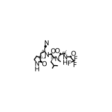 CC(C)C[C@@H](C(=O)N1C[C@]2(CCNC2=O)C[C@H]1C#N)N(C)C(=O)[C@H](C)NC(=O)C(F)(F)F